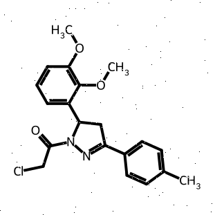 COc1cccc(C2CC(c3ccc(C)cc3)=NN2C(=O)CCl)c1OC